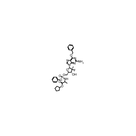 CC(NP(=O)(OC[C@H]1O[C@@H](n2cnc3c(OCc4ccccc4)nc(N)nc32)[C@](C)(F)[C@@H]1O)Oc1ccccc1)C(=O)OC1CCCC1